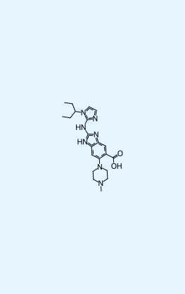 CCC(CC)n1ccnc1Nc1nc2cc(C(=O)O)c(N3CCN(C)CC3)cc2[nH]1